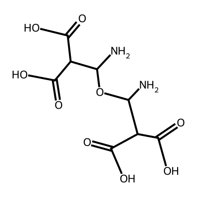 NC(OC(N)C(C(=O)O)C(=O)O)C(C(=O)O)C(=O)O